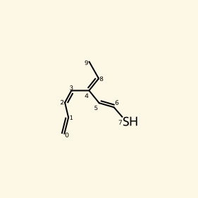 C=C\C=C/C(/C=C/S)=C\C